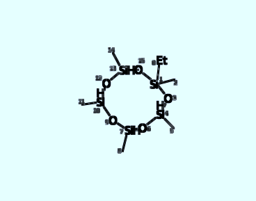 CC[Si]1(C)O[SiH](C)O[SiH](C)O[SiH](C)O[SiH](C)O1